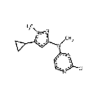 CN(c1ccnc(Cl)n1)c1cc(C2CC2)n(C)n1